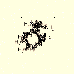 CC(C)C[C@@H]1NC(=O)[C@@H](Cc2ccccc2)NC(=O)[C@H](CCN)NC(=O)[C@@H](NC(=O)[C@H](CCN)NC(=O)[C@@H](NC(=O)CCCN)C(C)O)CCNC(=O)[C@H](C(C)O)NC(=O)[C@H](CCN)NC(=O)[C@H](CCCN)NC1=O